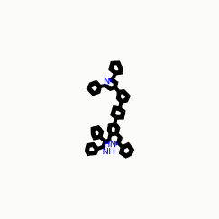 N=C(/C(=C1\NC(c2ccccc2)=Cc2cc(-c3ccc(-c4cccc(-c5cc(-c6ccccc6)nc(-c6ccccc6)c5)c4)cc3)ccc21)c1ccccc1)c1ccccc1